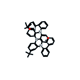 CC(C)(C)c1ccc2c(c1)N(c1ccccc1-c1ccccn1)c1cccc3c1B2c1ccc(C(C)(C)C)cc1N3c1ccccc1-c1ccccn1